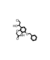 O=C1COc2c(C(O)CCl)ccc(OCc3ccccc3)c2N1